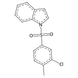 Cc1ccc(S(=O)(=O)n2ccc3ccccc32)cc1Cl